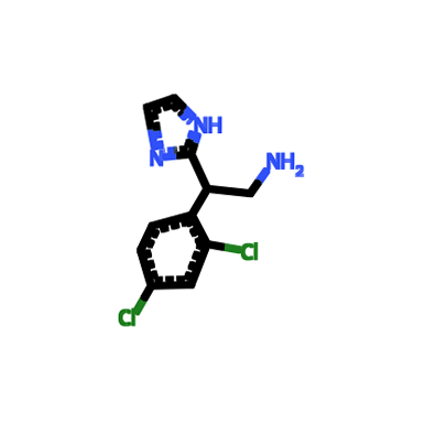 NCC(c1ncc[nH]1)c1ccc(Cl)cc1Cl